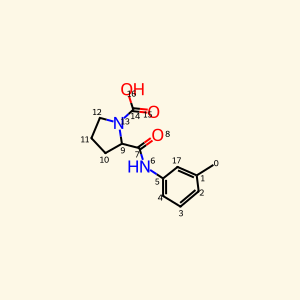 Cc1cccc(NC(=O)C2CCCN2C(=O)O)c1